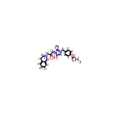 COc1ccc(CN2CCN(CC(O)CN3CCc4ccccc4C3)C2=O)cc1